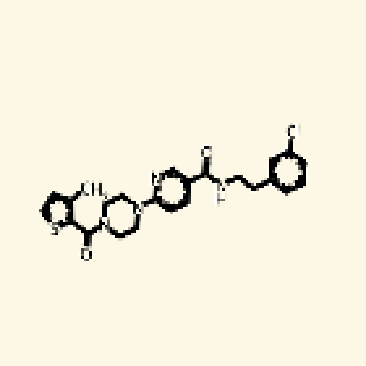 Cc1ccsc1C(=O)N1CCN(c2ccc(C(=O)NCCc3cccc(Cl)c3)cn2)CC1